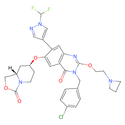 O=C1OC[C@@H]2C[C@@H](Oc3cc4c(=O)n(Cc5ccc(Cl)cc5)c(OCCN5CCC5)nc4cc3-c3cnn(C(F)F)c3)CCN12